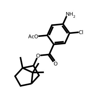 CC(=O)Oc1cc(N)c(Cl)cc1C(=O)OC1CC2CCC1(C)C2(C)C